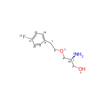 N[C@@H](CO)COCCc1ccc(F)cc1